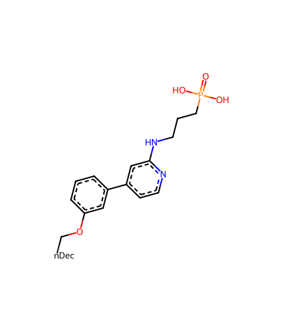 CCCCCCCCCCCOc1cccc(-c2ccnc(NCCCP(=O)(O)O)c2)c1